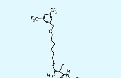 CC(C=CCCCCCCOCc1cc(C(F)(F)F)cc(C(F)(F)F)c1)=C(F)C(=O)NCC(C)C